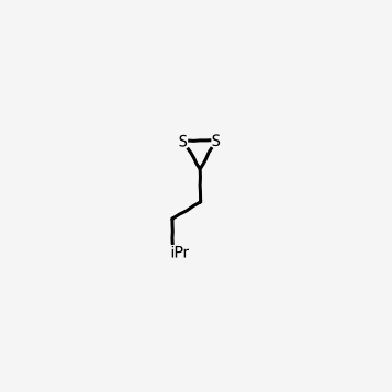 CC(C)CCC1SS1